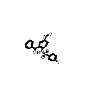 O=Nc1ccc(NS(=O)(=O)c2ccc(Cl)cc2)c(C(=O)c2ccccc2)c1